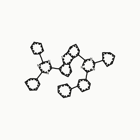 c1ccc(-c2cccc(-c3nc(-c4ccccc4)nc(-c4cccc5sc6c(-c7nc(-c8ccccc8)nc(-c8ccccc8)n7)cccc6c45)n3)c2)cc1